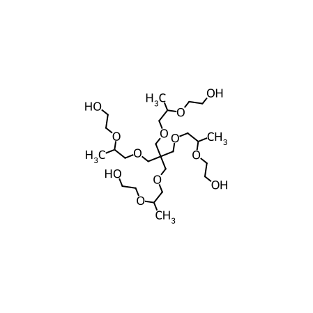 CC(COCC(COCC(C)OCCO)(COCC(C)OCCO)COCC(C)OCCO)OCCO